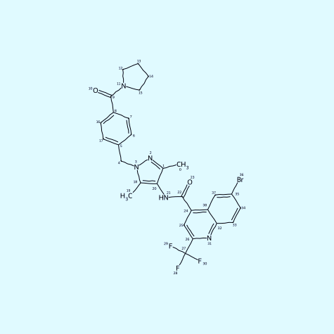 Cc1nn(Cc2ccc(C(=O)N3CCCC3)cc2)c(C)c1NC(=O)c1cc(C(F)(F)F)nc2ccc(Br)cc12